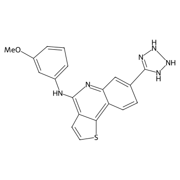 COc1cccc(Nc2nc3cc(C4=NNNN4)ccc3c3sccc23)c1